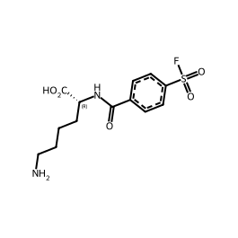 NCCCC[C@@H](NC(=O)c1ccc(S(=O)(=O)F)cc1)C(=O)O